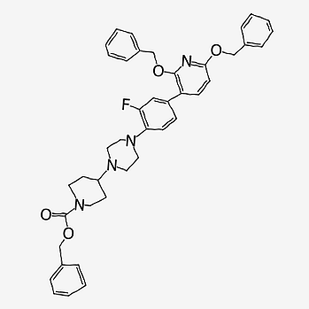 O=C(OCc1ccccc1)N1CCC(N2CCN(c3ccc(-c4ccc(OCc5ccccc5)nc4OCc4ccccc4)cc3F)CC2)CC1